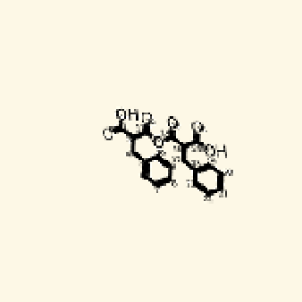 O=C(O)C(Cc1ccccc1)C(=O)OC(=O)C(Cc1ccccc1)C(=O)O